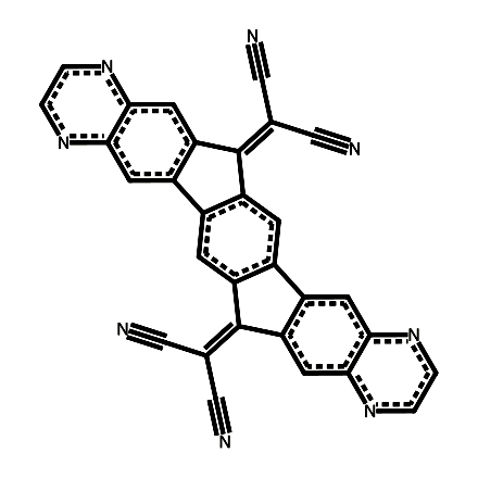 N#CC(C#N)=C1c2cc3c(cc2-c2cc4nccnc4cc21)C(=C(C#N)C#N)c1cc2nccnc2cc1-3